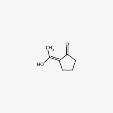 CC(O)=C1CCCC1=O